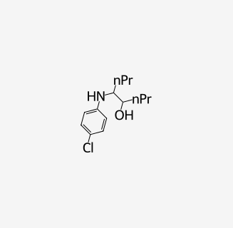 CCCC(O)C(CCC)Nc1ccc(Cl)cc1